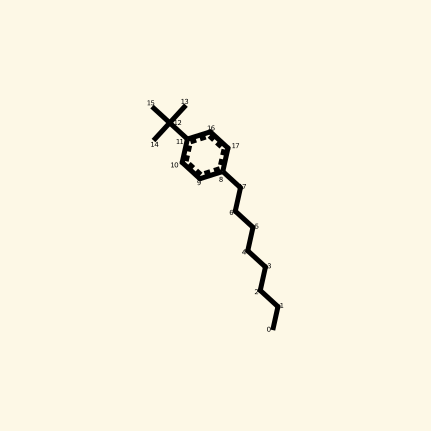 CCCCCCC[CH]c1ccc(C(C)(C)C)cc1